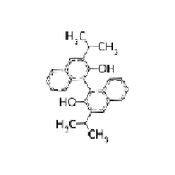 CC(C)c1cc2ccccc2c(-c2c(O)c(C(C)C)cc3ccccc23)c1O